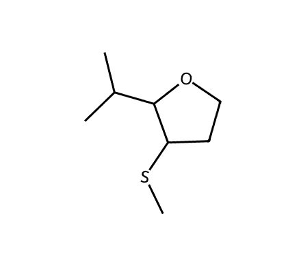 CSC1CCOC1C(C)C